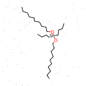 CCCCCCCCCC[O][Sn]([CH2]CCC)([CH2]CCC)[O]CCCCCCCCCC